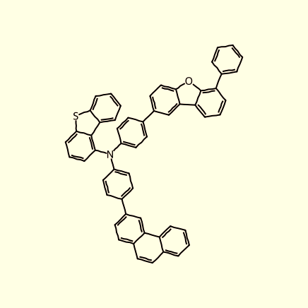 c1ccc(-c2cccc3c2oc2ccc(-c4ccc(N(c5ccc(-c6ccc7ccc8ccccc8c7c6)cc5)c5cccc6sc7ccccc7c56)cc4)cc23)cc1